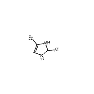 CCC1=CNC(CC)N1